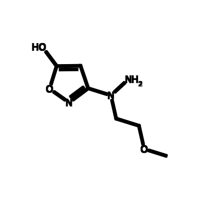 COCCN(N)c1cc(O)on1